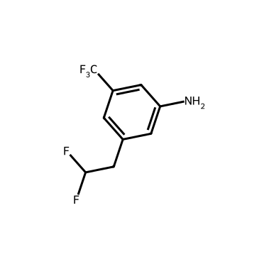 Nc1cc(CC(F)F)cc(C(F)(F)F)c1